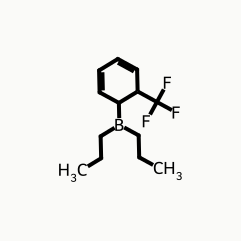 CCCB(CCC)C1C=CC=CC1C(F)(F)F